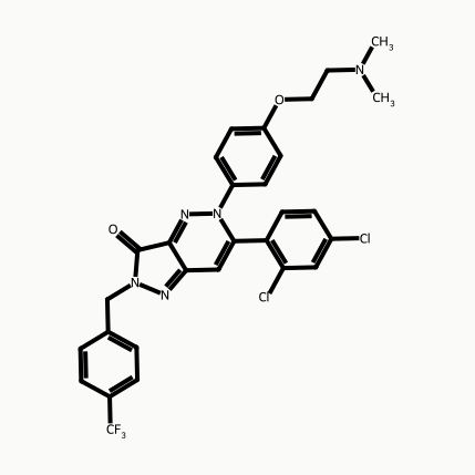 CN(C)CCOc1ccc(-n2nc3c(=O)n(Cc4ccc(C(F)(F)F)cc4)nc-3cc2-c2ccc(Cl)cc2Cl)cc1